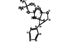 CC(C)(C)OC(=O)NC12C(=O)OCC1C2c1ccccc1